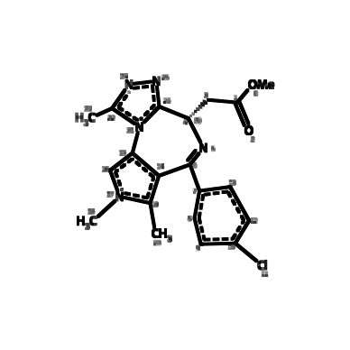 COC(=O)C[C@@H]1N=C(c2ccc(Cl)cc2)c2c(cn(C)c2C)-n2c(C)nnc21